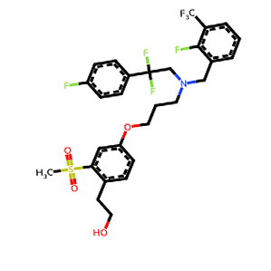 CS(=O)(=O)c1cc(OCCCN(Cc2cccc(C(F)(F)F)c2F)CC(F)(F)c2ccc(F)cc2)ccc1CCO